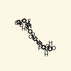 O=C1CCC(Nc2ccc(N3CCN(C4CCN(C(=O)O[C@H]5CC[C@H](Nc6ncc(F)c(-c7cccc(N8CCOCC8=O)c7)n6)CC5)CC4)CC3)c(F)c2)C(=O)N1